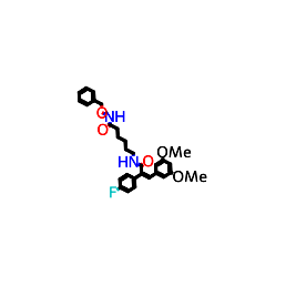 COc1cc(/C=C(\C(=O)NCCCCCC(=O)NOCc2ccccc2)c2ccc(F)cc2)cc(OC)c1